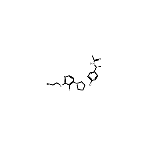 CC(=O)N[C@@H](C)c1ccc(O[C@@H]2CCN(c3ccnc(OCCO)c3F)C2)cc1